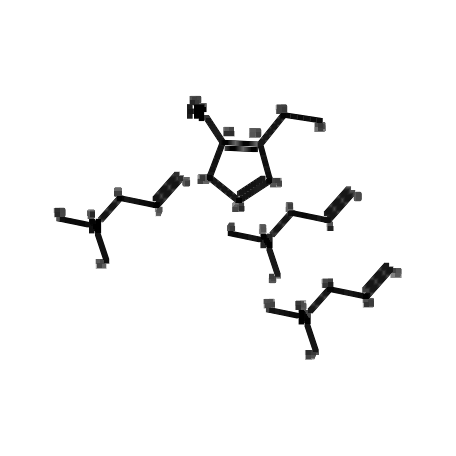 C=CCN(C)C.C=CCN(C)C.C=CCN(C)C.CCC1=[C]([Hf])CC=C1